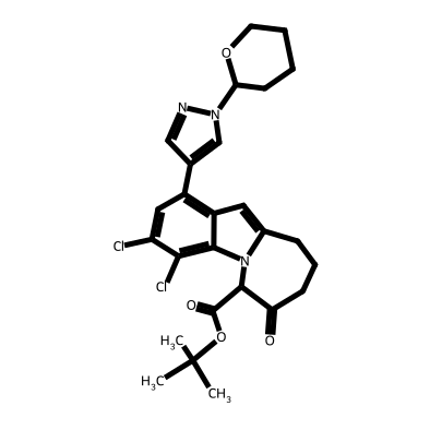 CC(C)(C)OC(=O)C1C(=O)CCCc2cc3c(-c4cnn(C5CCCCO5)c4)cc(Cl)c(Cl)c3n21